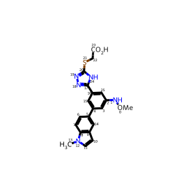 CONc1cc(-c2ccc3c(ccn3C)c2)cc(-c2nnc(SCC(=O)O)[nH]2)c1